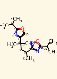 CC(C)c1nc(C(C)(C)CC(C)c2noc(C(C)C)n2)co1